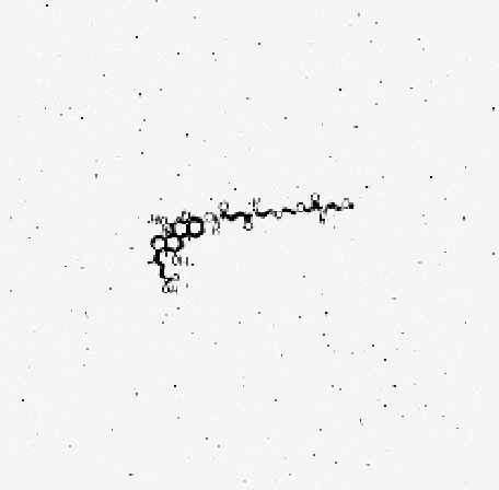 COCCNC(=O)COCCOCCNC(=O)CCC(=O)NO[C@H]1CC[C@]2(C)C3C[C@H](O)[C@@]4(C)C(CC[C@@H]4[C@H](C)CCC(=O)O)[C@@H]3[C@H](O)C[C@@H]2C1